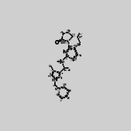 Cc1nn(Cc2ccccc2)cc1[C@H](C)Nc1nccc(N2C(=O)CC[C@@H]2C(C)C)n1